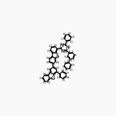 c1ccc(-c2cccc(-c3nc(-c4ccccc4)nc(-c4cccc5c4sc4cc(-c6cc(-c7ccccc7)c7oc8ccccc8c7c6)ccc45)n3)c2)cc1